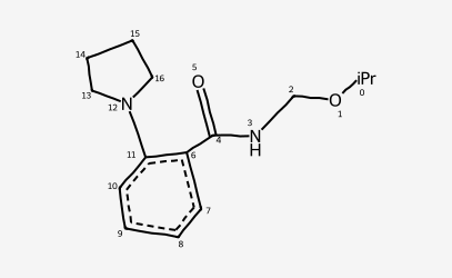 CC(C)OCNC(=O)c1ccccc1N1CCCC1